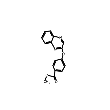 COC(=O)c1ccc(Oc2cnc3ccccc3n2)cc1